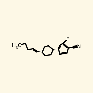 CCCC=C[C@H]1CC[C@H](c2ccc(C#N)c(F)c2)CC1